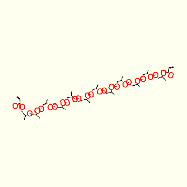 C=CC(=O)OCC(C)OCC(C)OOCC(C)OOCC(C)OOCC(C)OOCC(C)OOCC(C)OOCC(C)OOCC(C)OOCC(C)OOCC(C)OOCC(C)OC(=O)C=C